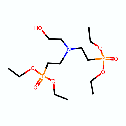 CCOP(=O)(CCN(CCO)CCP(=O)(OCC)OCC)OCC